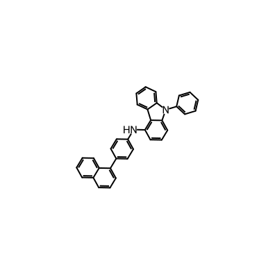 c1ccc(-n2c3ccccc3c3c(Nc4ccc(-c5cccc6ccccc56)cc4)cccc32)cc1